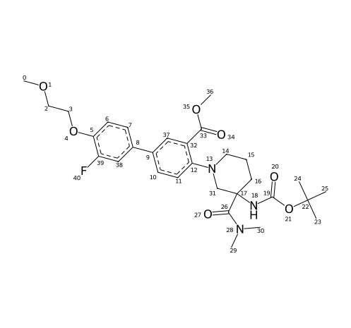 COCCOc1ccc(-c2ccc(N3CCCC(NC(=O)OC(C)(C)C)(C(=O)N(C)C)C3)c(C(=O)OC)c2)cc1F